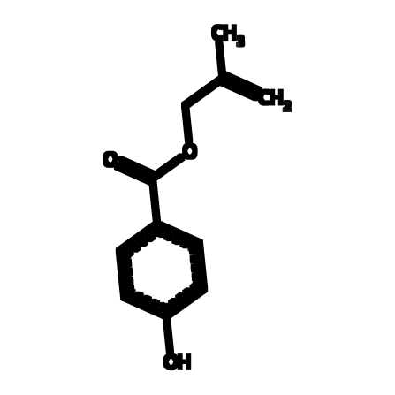 C=C(C)COC(=O)c1ccc(O)cc1